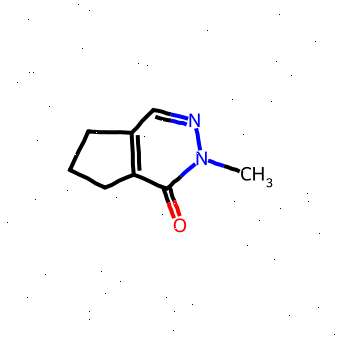 Cn1ncc2c(c1=O)CCC2